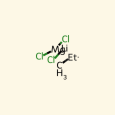 C[CH]C.[Cl][Mg][Cl].[Li][Cl]